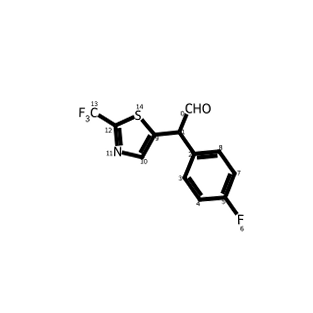 O=CC(c1ccc(F)cc1)c1cnc(C(F)(F)F)s1